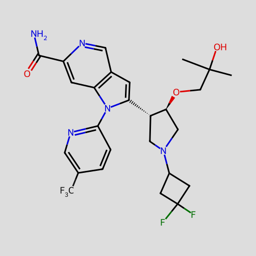 CC(C)(O)CO[C@H]1CN(C2CC(F)(F)C2)C[C@@H]1c1cc2cnc(C(N)=O)cc2n1-c1ccc(C(F)(F)F)cn1